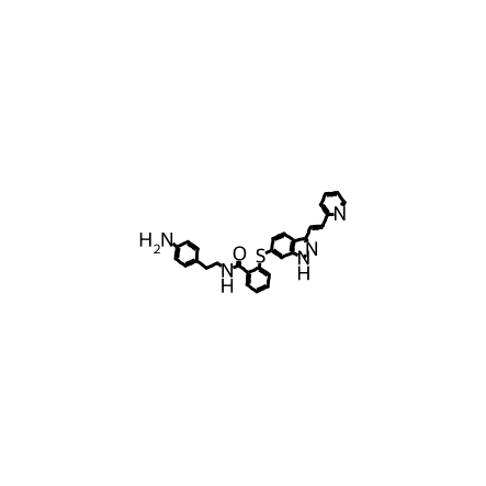 Nc1ccc(CCNC(=O)c2ccccc2Sc2ccc3c(/C=C/c4ccccn4)n[nH]c3c2)cc1